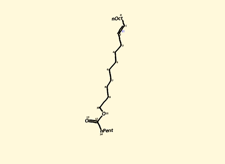 CCCCCCCC/C=C/CCCCCCCCOC(=O)CCCCC